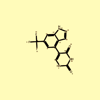 O=c1[nH]cc(-c2cc(C(F)(F)F)cc3[nH]ncc23)c(=O)[nH]1